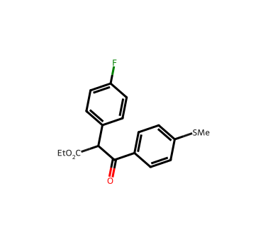 CCOC(=O)C(C(=O)c1ccc(SC)cc1)c1ccc(F)cc1